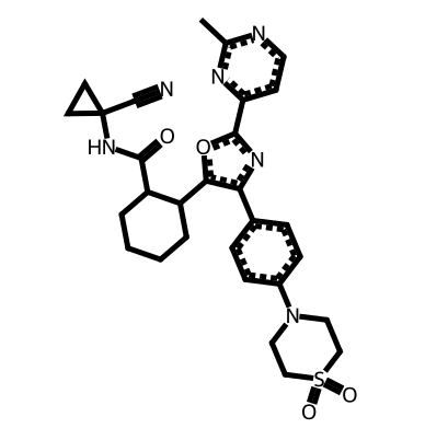 Cc1nccc(-c2nc(-c3ccc(N4CCS(=O)(=O)CC4)cc3)c(C3CCCCC3C(=O)NC3(C#N)CC3)o2)n1